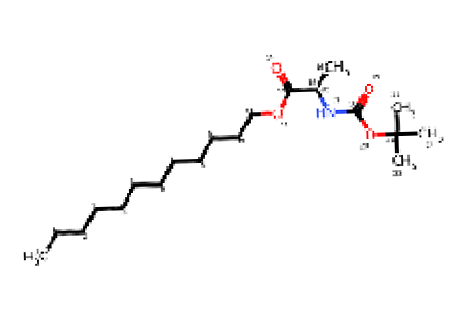 CCCCCCCCCCCCOC(=O)[C@@H](C)NC(=O)OC(C)(C)C